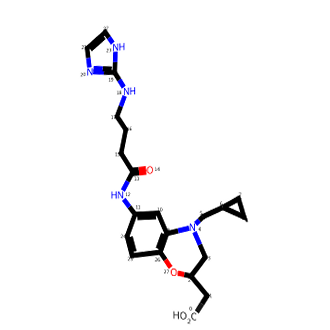 O=C(O)CC1CN(CC2CC2)c2cc(NC(=O)CCCNc3ncc[nH]3)ccc2O1